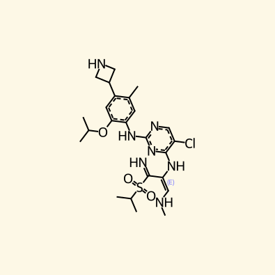 CN/C=C(/Nc1nc(Nc2cc(C)c(C3CNC3)cc2OC(C)C)ncc1Cl)C(=N)S(=O)(=O)C(C)C